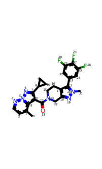 Cc1ccnn2nc(C3CC3)c(C(=O)N3CCc4c(nn(C)c4-c4cc(F)c(F)c(F)c4)C3)c12